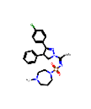 CSC(=NS(=O)(=O)N1CCCN(C)CC1)N1CC(c2ccccc2)C(c2ccc(Cl)cc2)=N1